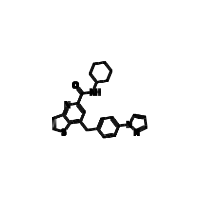 O=C(NC1CCCCC1)c1cc(Cc2ccc(-n3cccn3)cc2)c2sccc2n1